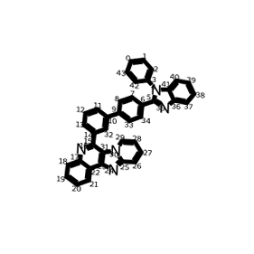 c1ccc(-n2c(-c3ccc(-c4cccc(-c5nc6ccccc6c6nc7ccccn7c56)c4)cc3)nc3ccccc32)cc1